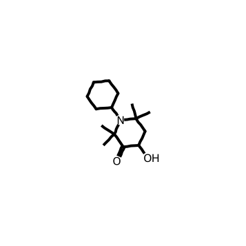 CC1(C)CC(O)C(=O)C(C)(C)N1C1CCCCC1